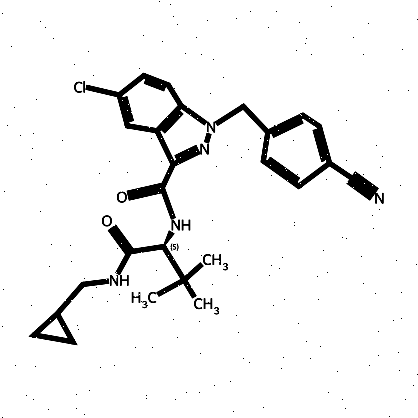 CC(C)(C)[C@H](NC(=O)c1nn(Cc2ccc(C#N)cc2)c2ccc(Cl)cc12)C(=O)NCC1CC1